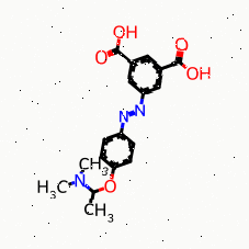 CC(Oc1ccc(N=Nc2cc(C(=O)O)cc(C(=O)O)c2)cc1)N(C)C